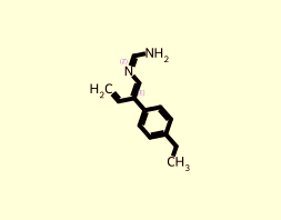 C=C/C(=C\N=C/N)c1ccc(CC)cc1